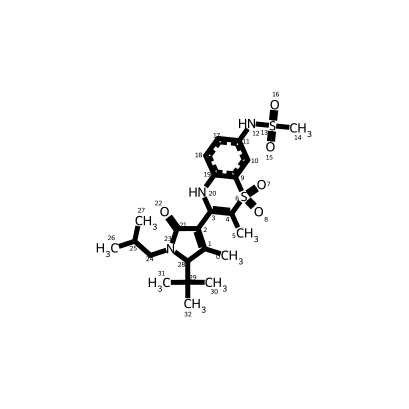 CC1=C(C2=C(C)S(=O)(=O)c3cc(NS(C)(=O)=O)ccc3N2)C(=O)N(CC(C)C)C1C(C)(C)C